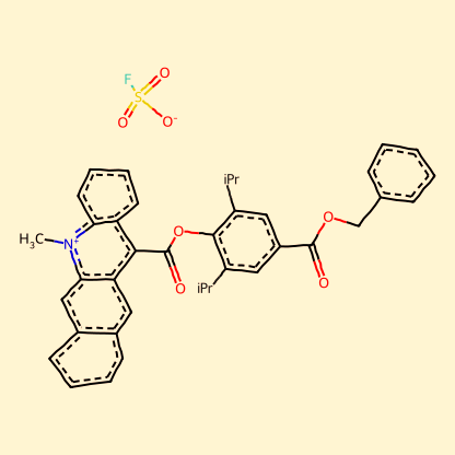 CC(C)c1cc(C(=O)OCc2ccccc2)cc(C(C)C)c1OC(=O)c1c2ccccc2[n+](C)c2cc3ccccc3cc12.O=S(=O)([O-])F